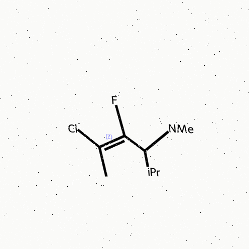 CNC(/C(F)=C(\C)Cl)C(C)C